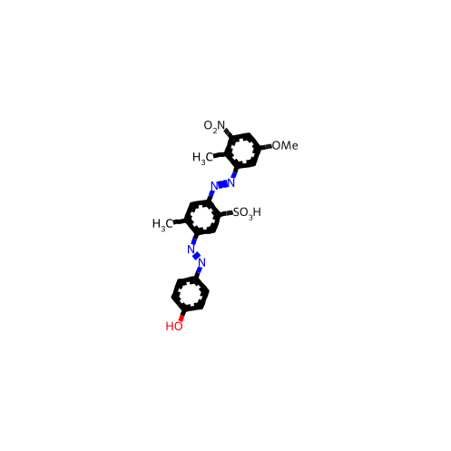 COc1cc(N=Nc2cc(C)c(N=Nc3ccc(O)cc3)cc2S(=O)(=O)O)c(C)c([N+](=O)[O-])c1